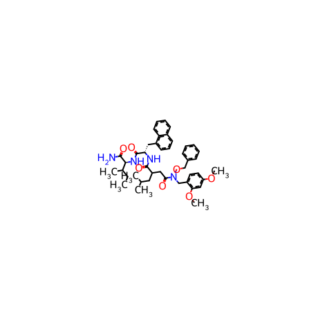 CCC(C)[C@H](NC(=O)[C@H](Cc1cccc2ccccc12)NC(=O)C(CC(=O)N(Cc1ccc(OC)cc1OC)OCc1ccccc1)CC(C)C)C(N)=O